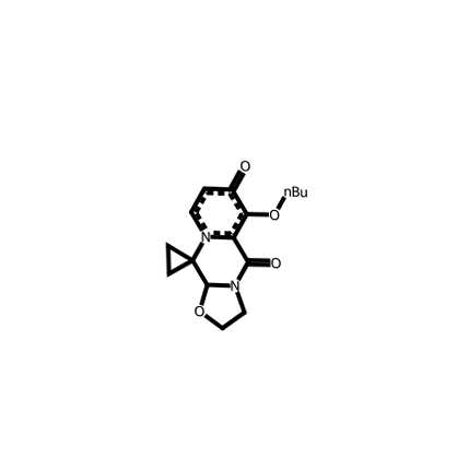 CCCCOc1c2n(ccc1=O)C1(CC1)C1OCCN1C2=O